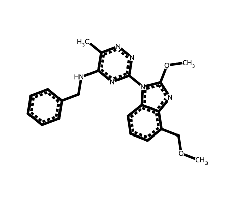 COCc1cccc2c1nc(OC)n2-c1nnc(C)c(NCc2ccccc2)n1